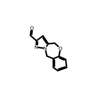 O=Cc1cc2n(n1)Cc1ccccc1OC2